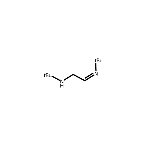 CC(C)(C)/N=C\CNC(C)(C)C